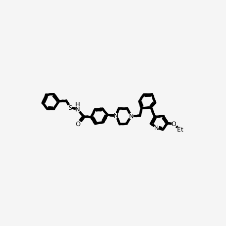 CCOc1cncc(-c2ccccc2CN2CCN(c3ccc(C(=O)NSCc4ccccc4)cc3)CC2)c1